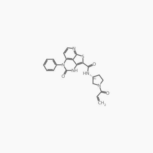 C=CC(=O)N1CC[C@@H](NC(=O)c2sc3nccc4c3c2NC(=O)N4c2ccccc2)C1